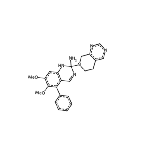 COc1cc2c(c(-c3ccccc3)c1OC)C=NC(N)(N1CCc3cncnc3C1)N2